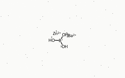 OB(O)O.[Ba+2].[Zn+2]